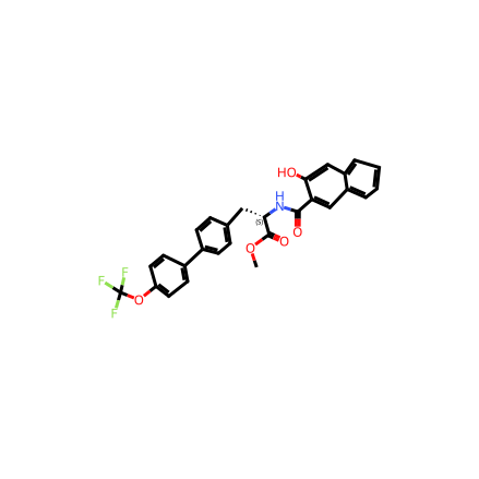 COC(=O)[C@H](Cc1ccc(-c2ccc(OC(F)(F)F)cc2)cc1)NC(=O)c1cc2ccccc2cc1O